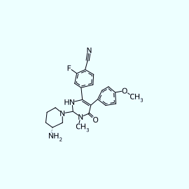 COc1ccc(C2=C(c3ccc(C#N)c(F)c3)NC(N3CCC[C@@H](N)C3)N(C)C2=O)cc1